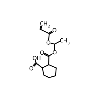 C=CC(=O)OC(C)OC(=O)C1CCCCC1C(=O)O